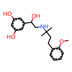 COc1ccccc1CCC(C)(C)NCC(O)c1cc(O)cc(O)c1